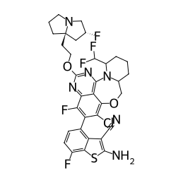 N#Cc1c(N)sc2c(F)ccc(-c3c(Cl)c4c5c(nc(OCC[C@@]67CCCN6C[C@H](F)C7)nc5c3F)N3C(CCCC3C(F)F)CO4)c12